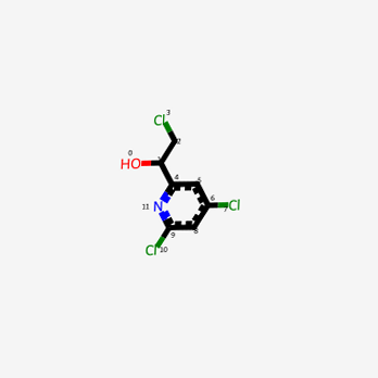 OC(CCl)c1cc(Cl)cc(Cl)n1